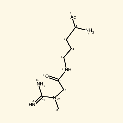 CC(=O)C(N)CCCNC(=O)CN(C)C(=N)N